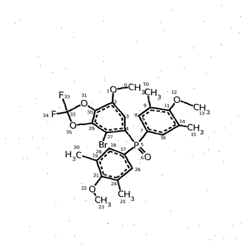 COc1cc(P(=O)(c2cc(C)c(OC)c(C)c2)c2cc(C)c(OC)c(C)c2)c(Br)c2c1OC(F)(F)O2